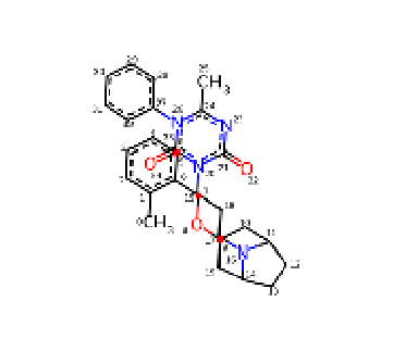 Cc1ccccc1COC1CC2CCC(C1)N2CCCn1c(=O)nc(C)n(-c2ccccc2)c1=O